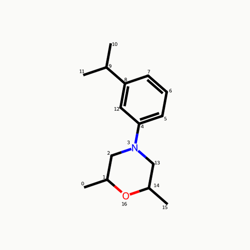 CC1CN(c2cccc(C(C)C)c2)CC(C)O1